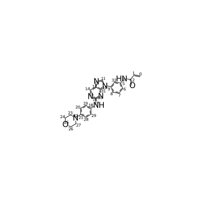 C=CC(=O)Nc1cccc(-n2cnc3cnc(Nc4ccc(N5CCOCC5)cc4)nc32)c1